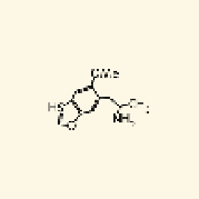 COc1cc2c(cc1CC(C)N)OC=[SH]2